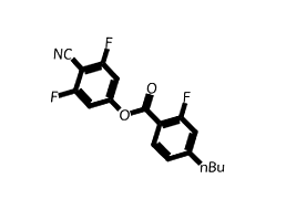 CCCCc1ccc(C(=O)Oc2cc(F)c(C#N)c(F)c2)c(F)c1